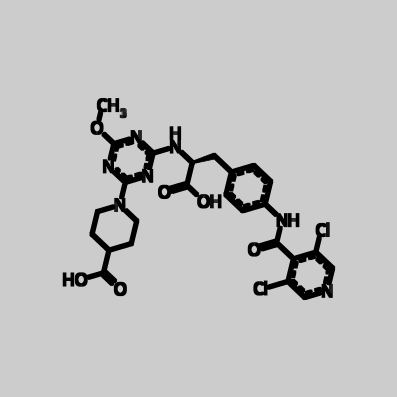 COc1nc(N[C@@H](Cc2ccc(NC(=O)c3c(Cl)cncc3Cl)cc2)C(=O)O)nc(N2CCC(C(=O)O)CC2)n1